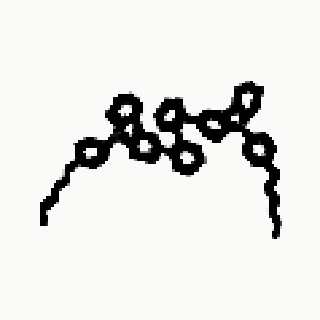 CCCCCCc1ccc(-n2c3ccccc3c3cc(-c4ccccc4-c4ccccc4-c4ccc5c(c4)c4ccccc4n5-c4ccc(CCCCCC)cc4)ccc32)cc1